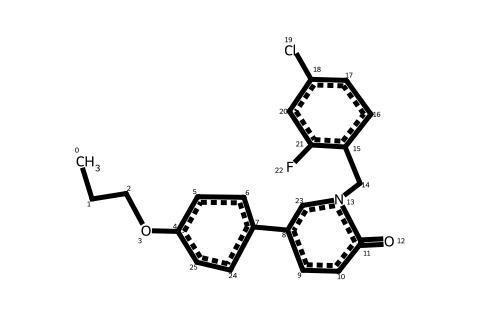 CCCOc1ccc(-c2ccc(=O)n(Cc3ccc(Cl)cc3F)c2)cc1